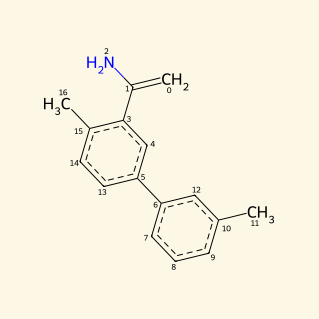 C=C(N)c1cc(-c2cccc(C)c2)ccc1C